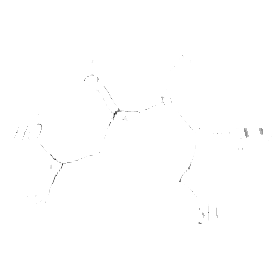 CCCC(O)CC(=O)N(C(C)=O)C(C)CS